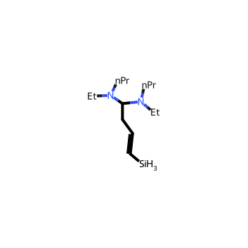 CCCN(CC)C(CC=C[SiH3])N(CC)CCC